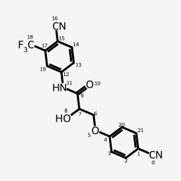 N#Cc1ccc(OCC(O)C(=O)Nc2ccc(C#N)c(C(F)(F)F)c2)cc1